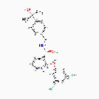 CC(C)(O)c1ccc(CNC(=O)c2cccnc2Oc2cc(F)cc(F)c2)cc1